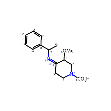 COC1CN(C(=O)O)CC/C1=N/C(C)c1ccccc1